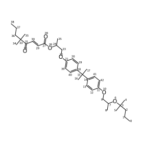 CCCC(C)(C)OC(C)COc1ccc(C(C)(C)c2ccc(OCC(C)OC(=O)/C=C/C(=O)C(C)(C)CCC)cc2)cc1